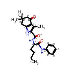 CCCCC(NC(=O)c1[nH]c2c(c1C)C(=O)CC(C)(C)C2)C(=O)Nc1ccccc1